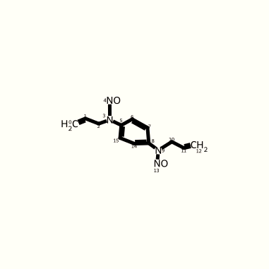 C=CCN(N=O)c1ccc(N(CC=C)N=O)cc1